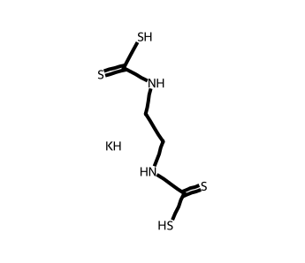 S=C(S)NCCNC(=S)S.[KH]